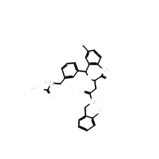 CC(=O)NCc1cccc(C2OC(CC(=O)NCc3ccccc3F)C(=O)Nc3ccc(Cl)cc32)c1